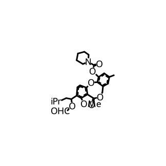 COc1c(C(CC(C)C)OC=O)ccc2c1C(=O)OCc1cc(C)cc(OC(=O)N3CCCCC3)c1O2